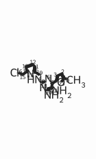 Cc1ccc(-c2nc(NCc3cccc(CCl)n3)nc(N)c2N)o1